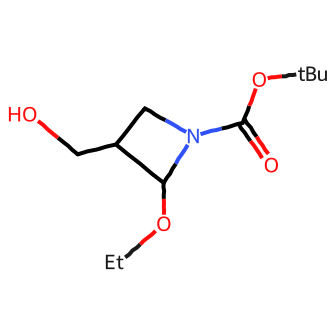 CCOC1C(CO)CN1C(=O)OC(C)(C)C